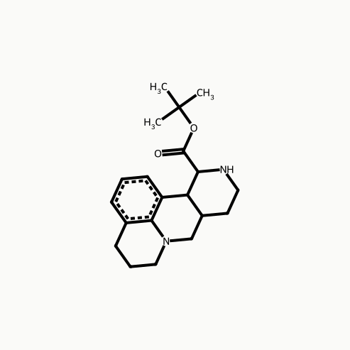 CC(C)(C)OC(=O)C1NCCC2CN3CCCc4cccc(c43)C21